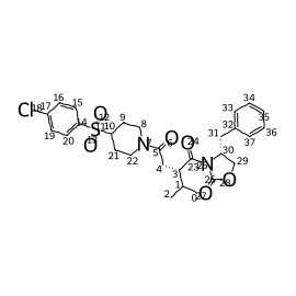 CC(C)[C@H](CC(=O)N1CCC(S(=O)(=O)c2ccc(Cl)cc2)CC1)C(=O)N1C(=O)OC[C@H]1Cc1ccccc1